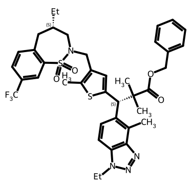 CC[C@H]1Cc2ccc(C(F)(F)F)cc2S(=O)(=O)N(Cc2cc([C@@H](c3ccc4c(nnn4CC)c3C)C(C)(C)C(=O)OCc3ccccc3)sc2C)C1